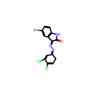 O=C1Nc2ccc(Br)cc2C1=NN=C1C=C(Cl)C(Cl)=CC1